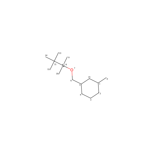 CC1CCCC(CO[Si](C)(C)C(C)(C)C)C1